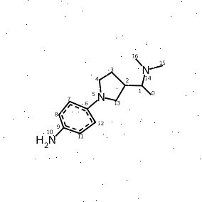 CC(C1CCN(c2ccc(N)cc2)C1)N(C)C